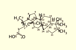 C[C@H](CCC(=O)O)[C@H]1CC[C@@]2(C)[C@@H]3CC[C@H]4C(C)(C)[C@@H](C)CC[C@@]45C[C@@]35CC[C@]12C